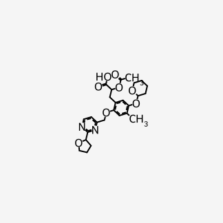 CC(=O)OC(Cc1cc(OC2CCCCO2)c(C)cc1OCc1ccnc(C2CCCO2)n1)C(=O)O